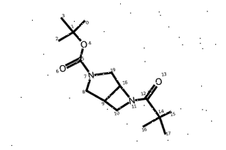 CC(C)(C)OC(=O)N1CC2CN(C(=O)C(C)(C)C)C2C1